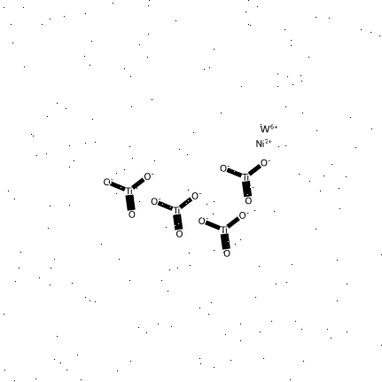 [Ni+2].[O]=[Ti]([O-])[O-].[O]=[Ti]([O-])[O-].[O]=[Ti]([O-])[O-].[O]=[Ti]([O-])[O-].[W+6]